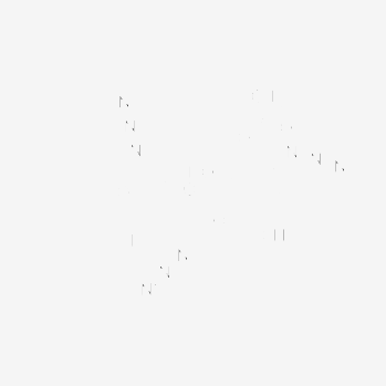 CC(=O)OC1C(N=[N+]=[N-])CC(C)C(OC2OC(CN=[N+]=[N-])C(OCc3ccccc3)C(F)C2N=[N+]=[N-])C1O